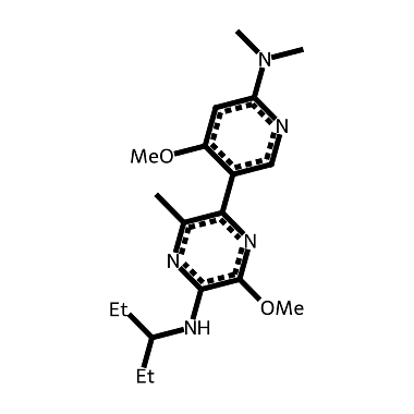 CCC(CC)Nc1nc(C)c(-c2cnc(N(C)C)cc2OC)nc1OC